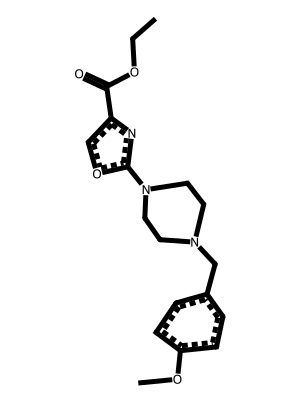 CCOC(=O)c1coc(N2CCN(Cc3ccc(OC)cc3)CC2)n1